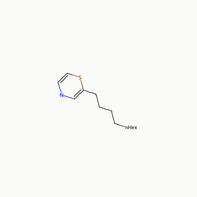 CCCCCCCCCCC1=C[N]C=CS1